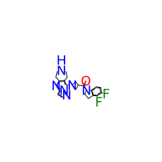 O=C(C1CN(c2c3c(nc4ccnn24)CCNCC3)C1)N1CCc2c1ccc(F)c2F